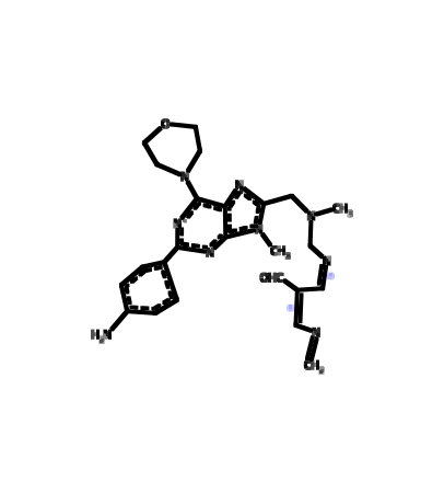 C=N/C=C(C=O)\C=N/CN(C)Cc1nc2c(N3CCOCC3)nc(-c3ccc(N)cc3)nc2n1C